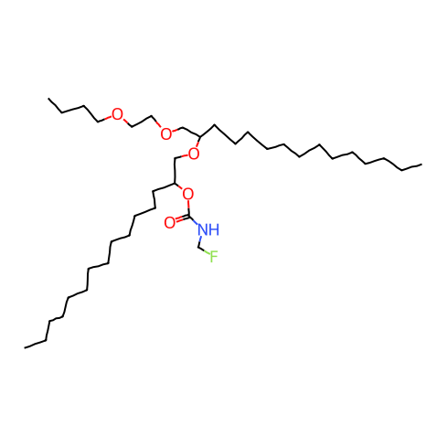 CCCCCCCCCCCCCC(COCCOCCCC)OCC(CCCCCCCCCCCCC)OC(=O)NCF